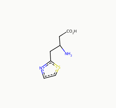 NC(CC(=O)O)Cc1nccs1